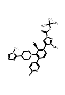 Cn1cnnc1C1CCN(c2c(-c3ccc(F)nc3)ccc(-c3cn(C(=O)OC(C)(C)C)nc3N)c2C#N)CC1